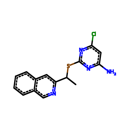 CC(Sc1nc(N)cc(Cl)n1)c1cc2ccccc2cn1